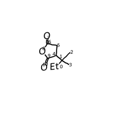 CCC(C)(C)C1CC(=O)OC1=O